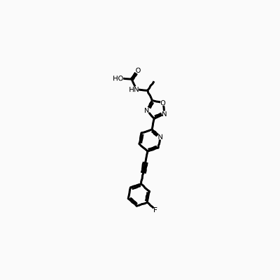 CC(NC(=O)O)c1nc(-c2ccc(C#Cc3cccc(F)c3)cn2)no1